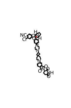 N#Cc1ccc(O[C@H]2C[C@H]3CC[C@@H](C2)N3C(=O)c2ccc(N3CCN(C4CC5(CCN(c6ccc7c(c6)C(=O)N(C6CCC(=O)NC6=O)C7=O)CC5)C4)CC3)cc2)cc1Cl